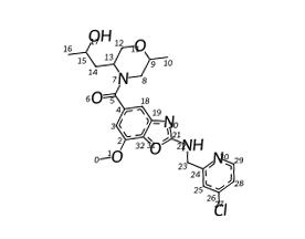 COc1cc(C(=O)N2CC(C)OCC2CC(C)O)cc2nc(NCc3cc(Cl)ccn3)oc12